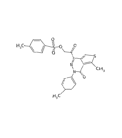 Cc1ccc(-n2nc(C(=O)COS(=O)(=O)c3ccc(C)cc3)c3csc(C)c3c2=O)cc1